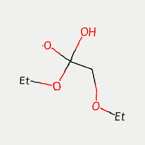 CCOCC([O])(O)OCC